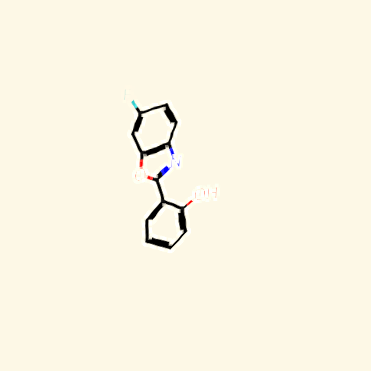 Oc1ccccc1-c1nc2ccc(F)cc2o1